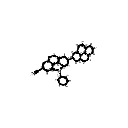 N#Cc1cc2ccc3cc(-c4cc5ccc6cccc7ccc(c4)c5c67)cc4c3c2c(c1)n4-c1ccccc1